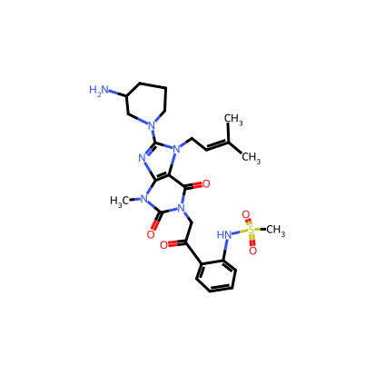 CC(C)=CCn1c(N2CCCC(N)C2)nc2c1c(=O)n(CC(=O)c1ccccc1NS(C)(=O)=O)c(=O)n2C